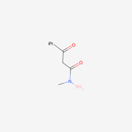 BN(C)C(=O)CC(=O)C(C)C